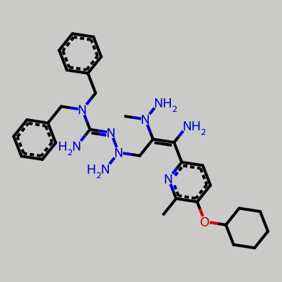 Cc1nc(/C(N)=C(\CN(N)/N=C(\N)N(Cc2ccccc2)Cc2ccccc2)N(C)N)ccc1OC1CCCCC1